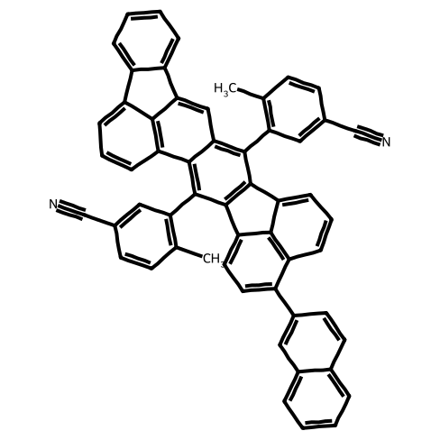 Cc1ccc(C#N)cc1-c1c2cc3c4ccccc4c4cccc(c2c(-c2cc(C#N)ccc2C)c2c5ccc(-c6ccc7ccccc7c6)c6cccc(c12)c65)c43